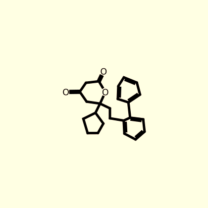 O=C1CC(=O)OC(CCc2ccccc2-c2ccccc2)(C2CCCC2)C1